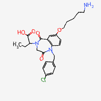 CCC(C(=O)O)N1CC(=O)N(Cc2ccc(Cl)cc2)c2ccc(OCCCCCN)cc2C1=O